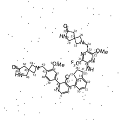 COc1cc(-c2nccc(-c3cccc4c3CC[C@@H]4Nc3nc(OC)c(CN4CC5(CNC(=O)C5)C4)nc3C(F)(F)F)c2Cl)ccc1CN1CC2(CNC(=O)C2)C1